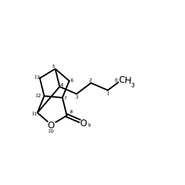 CCCCC1C2CC3C(=O)OC1C3C2